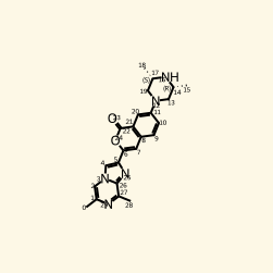 Cc1cn2cc(-c3cc4ccc(N5C[C@@H](C)N[C@@H](C)C5)cc4c(=O)o3)nc2c(C)n1